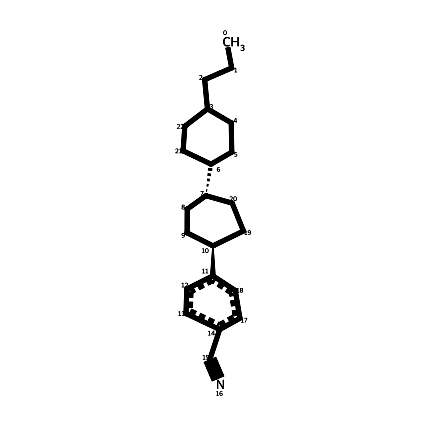 CCCC1CCC([C@H]2CC[C@H](c3ccc(C#N)cc3)CC2)CC1